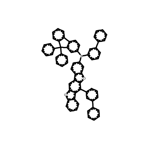 c1ccc(-c2cccc(-c3c4oc5cc(N(c6cccc(-c7ccccc7)c6)c6ccc7c(c6)C(c6ccccc6)(c6ccccc6)c6ccccc6-7)ccc5c4cc4oc5ccccc5c34)c2)cc1